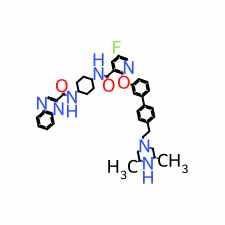 C[C@@H]1CN(CCc2ccc(-c3cccc(Oc4ncc(F)cc4C(=O)N[C@H]4CC[C@@H](NC(=O)c5cnc6ccccc6n5)CC4)c3)cc2)C[C@H](C)N1